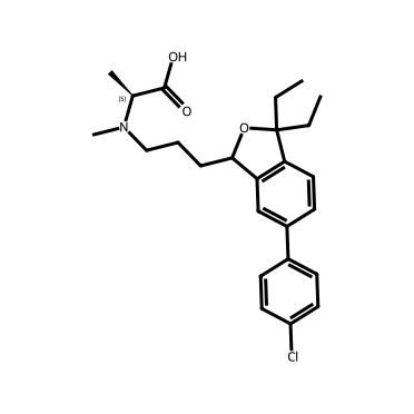 CCC1(CC)OC(CCCN(C)[C@@H](C)C(=O)O)c2cc(-c3ccc(Cl)cc3)ccc21